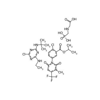 CC(C)OC(=O)c1cc(-n2c(=O)cc(C(F)(F)F)n(C)c2=O)ccc1Cl.CCNc1nc(Cl)nc(NC(C)(C)C)n1.O=C(O)CNCP(=O)(O)O